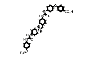 O=C(Nc1ccc(OC(F)(F)F)cc1)NC1CCN(S(=O)(=O)CC2CCC(NC(=O)NC3CCC(Oc4ccc(C(=O)O)cc4)CC3)CC2)CC1